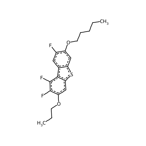 CCCCCOc1cc2sc3cc(OCCC)c(F)c(F)c3c2cc1F